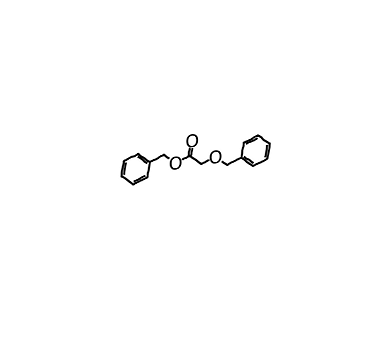 O=C(COCc1ccccc1)OCc1ccccc1